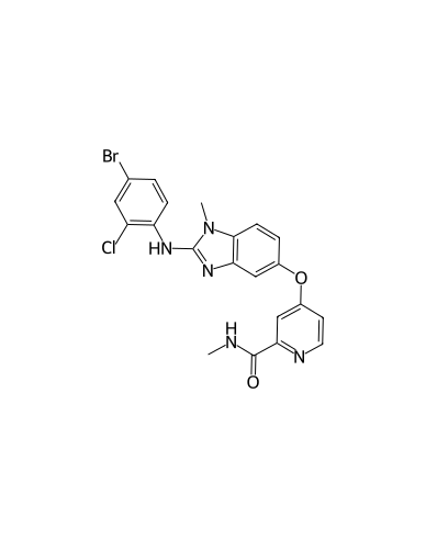 CNC(=O)c1cc(Oc2ccc3c(c2)nc(Nc2ccc(Br)cc2Cl)n3C)ccn1